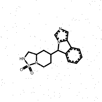 O=S1(=O)NCC2CC(C3c4ccccc4-c4cncn43)CCN21